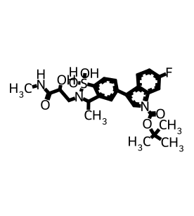 CNC(=O)C(O)CN1C(C)c2cc(-c3cn(C(=O)OC(C)(C)C)c4cc(F)ccc34)ccc2S1(O)O